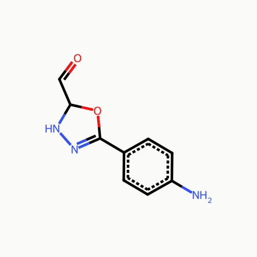 Nc1ccc(C2=NNC(C=O)O2)cc1